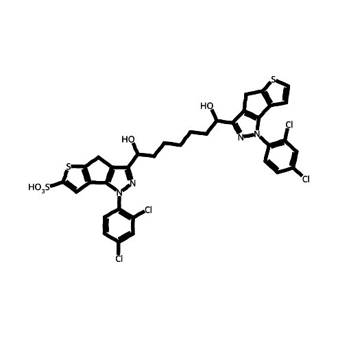 O=S(=O)(O)c1cc2c(s1)Cc1c(C(O)CCCCCC(O)c3nn(-c4ccc(Cl)cc4Cl)c4c3Cc3sccc3-4)nn(-c3ccc(Cl)cc3Cl)c1-2